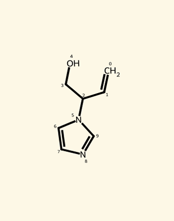 C=CC(CO)n1ccnc1